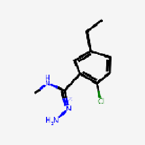 CCc1ccc(Cl)c(/C(=N/N)NC)c1